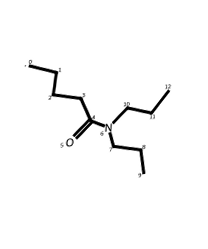 [CH2]CCCC(=O)N(CCC)CCC